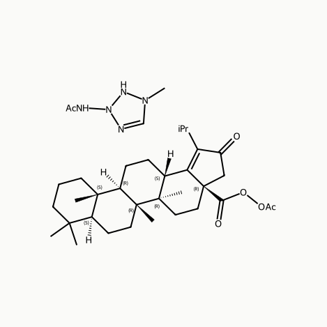 CC(=O)NN1N=CN(C)N1.CC(=O)OOC(=O)[C@@]12CC[C@]3(C)[C@H](CC[C@@H]4[C@@]5(C)CCCC(C)(C)[C@@H]5CC[C@]43C)C1=C(C(C)C)C(=O)C2